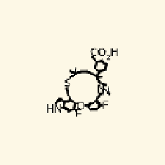 Cn1cc2nc1-c1cc(ccc1F)Oc1c(F)cc3[nH]ccc3c1CCSCC(C)(C)CCCC2(C)c1cccc(CC(=O)O)c1